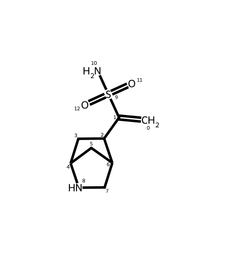 C=C(C1CC2CC1CN2)S(N)(=O)=O